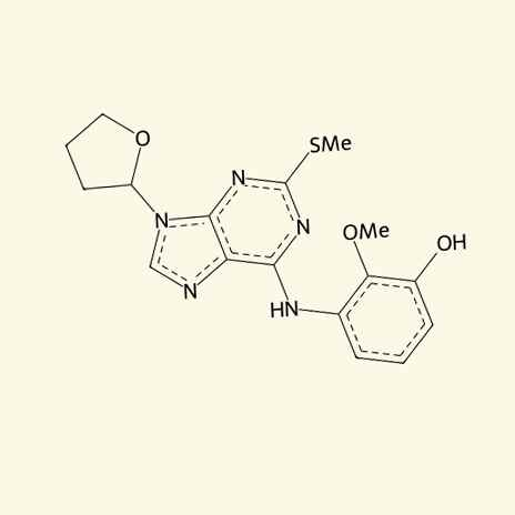 COc1c(O)cccc1Nc1nc(SC)nc2c1ncn2C1CCCO1